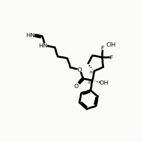 Cl.N=CNCCCCOC(=O)[C@](O)(c1ccccc1)[C@@H]1CCC(F)(F)C1